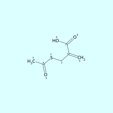 C=C(CSC(C)=O)C(=O)O